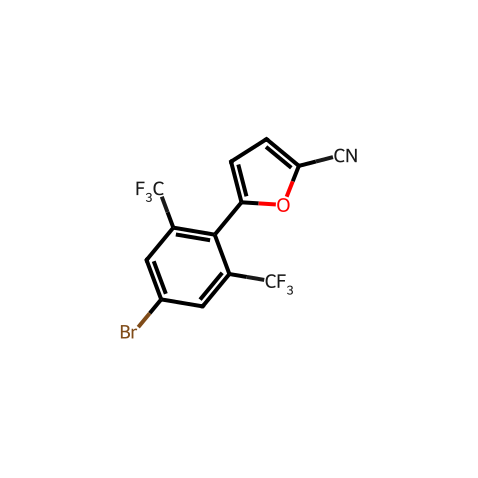 N#Cc1ccc(-c2c(C(F)(F)F)cc(Br)cc2C(F)(F)F)o1